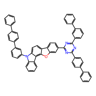 c1ccc(-c2ccc(-c3cccc(-n4c5ccccc5c5c6oc7cc(-c8nc(-c9ccc(-c%10ccccc%10)cc9)nc(-c9cccc(-c%10ccccc%10)c9)n8)ccc7c6ccc54)c3)cc2)cc1